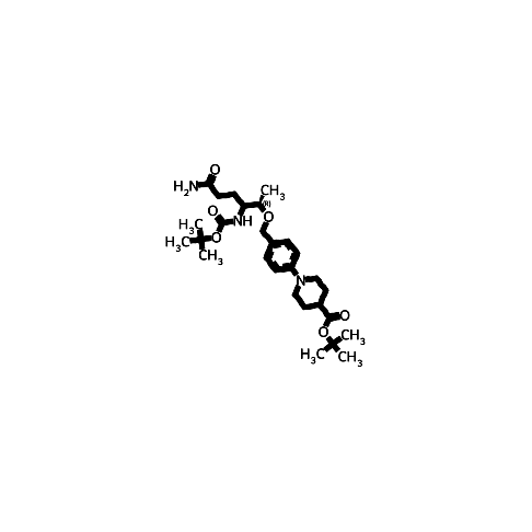 C[C@@H](OCc1ccc(N2CCC(C(=O)OC(C)(C)C)CC2)cc1)C(CCC(N)=O)NC(=O)OC(C)(C)C